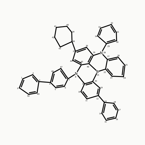 c1ccc(-c2ccc(N3c4ccc(-c5ccccc5)cc4B4c5ccccc5N(c5ccccc5)c5cc(C6CCCCC6)cc3c54)cc2)cc1